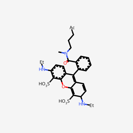 CCNc1ccc2c(c1S(=O)(=O)O)OC1=C(S(=O)(=O)O)C(NCC)C=CC1=C2c1ccccc1C(=O)N(C)CCCC(C)=O